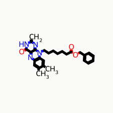 C=c1nc2c(c(=O)[nH]1)=Nc1cc(C)c(C)cc1N2CCCCCCC(=O)OCc1ccccc1